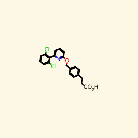 O=C(O)CCc1ccc(COc2cccc(-c3c(Cl)cccc3Cl)n2)cc1